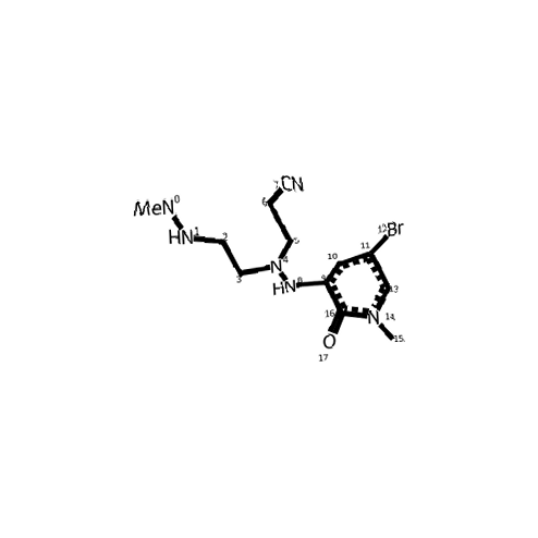 CNNCCN(CCC#N)Nc1cc(Br)cn(C)c1=O